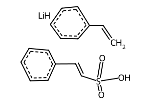 C=Cc1ccccc1.O=S(=O)(O)C=Cc1ccccc1.[LiH]